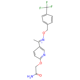 C/C(=N\OCc1ccc(C(F)(F)F)cc1)c1ccc(OCC(N)=O)nc1